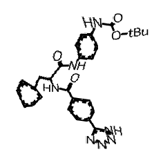 CC(C)(C)OC(=O)Nc1ccc(NC(=O)C(Cc2ccccc2)NC(=O)c2ccc(-c3nnn[nH]3)cc2)cc1